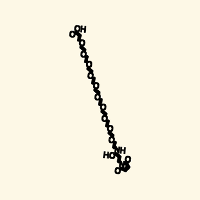 O=C(O)CCOCCOCCOCCOCCOCCOCCOCCOCCOCCOCCNC(O)CCN1C(=O)C=CC1=O